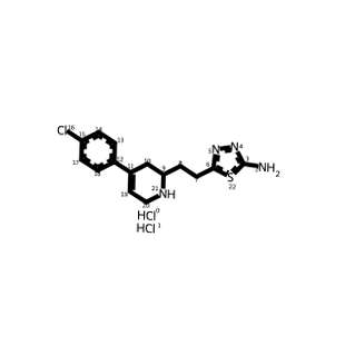 Cl.Cl.Nc1nnc(CCC2CC(c3ccc(Cl)cc3)=CCN2)s1